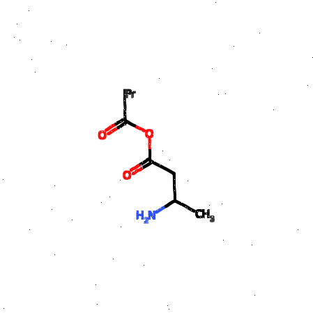 CC(N)CC(=O)OC(=O)C(C)C